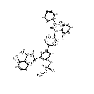 CCS(=O)(=O)Nc1cc(C(=O)NC(C)c2ccccc2C)cc(C(=O)N[C@@H](Cc2ccccc2)[C@H](O)CN[C@@H](C)c2ccccc2)c1